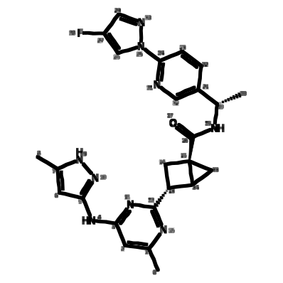 Cc1cc(Nc2cc(C)[nH]n2)nc([C@@H]2C[C@]3(C(=O)N[C@@H](C)c4ccc(-n5cc(F)cn5)nc4)CC23)n1